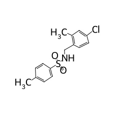 Cc1ccc(S(=O)(=O)NCc2ccc(Cl)cc2C)cc1